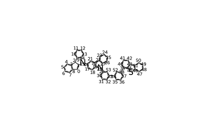 C1=C2C(c3ccccc31)c1ccccc1N2c1ccc2c(c1)c1ccccc1n2-c1cccc(-c2cccc(-c3cccc4c3sc3ccccc34)c2)c1